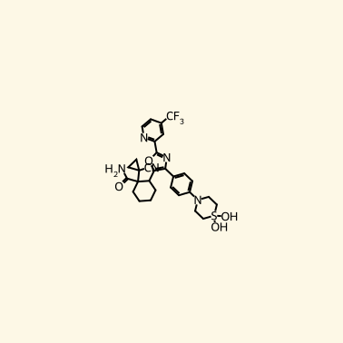 N#CC1(C2(C(N)=O)CCCCC2c2oc(-c3cc(C(F)(F)F)ccn3)nc2-c2ccc(N3CCS(O)(O)CC3)cc2)CC1